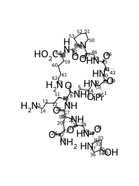 CC(C)C[C@H](NC(=O)CNC(=O)[C@H](CCCCN)NC(=O)[C@H](CCC(N)=O)NC(=O)CNC(=O)[C@@H]1C[C@@H](O)CN1)C(=O)N[C@@H](C)C(=O)NCC(=O)N1CCCC[C@H]1C(=O)N[C@@H](CCCCN)C(=O)O